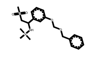 C[Si](C)(C)NC(CS(C)(=O)=O)c1cccc(OCOCc2ccccc2)c1